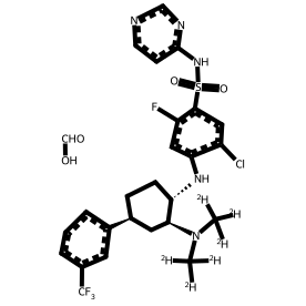 O=CO.[2H]C([2H])([2H])N([C@H]1C[C@@H](c2cccc(C(F)(F)F)c2)CC[C@@H]1Nc1cc(F)c(S(=O)(=O)Nc2ccncn2)cc1Cl)C([2H])([2H])[2H]